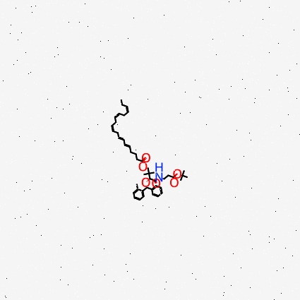 CC/C=C\C/C=C\C/C=C\C/C=C/C=C/CCCC(=O)OCC(C)(C)[C@@H](OC(c1ccccc1)c1ccccc1C)C(=O)NCCC(=O)OC(C)(C)C